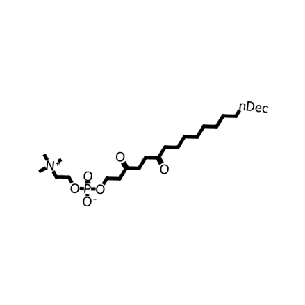 CCCCCCCCCCCCCCCCCCC(=O)CCC(=O)CCOP(=O)([O-])OCC[N+](C)(C)C